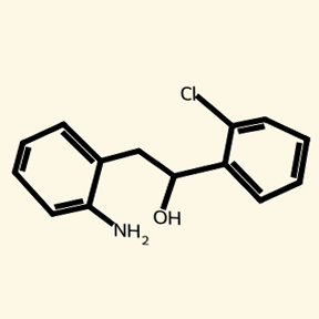 Nc1ccccc1CC(O)c1ccccc1Cl